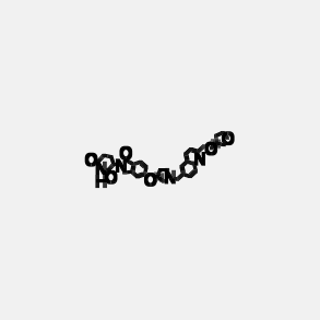 O=C1CCC(N2Cc3cc(O[C@H]4CCN(Cc5ccc6nc(CO[C@H]7CCOC7)ccc6c5)C4)ccc3C2=O)C(=O)N1